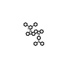 c1ccc(-c2cc(-c3ccccc3)nc(-n3c4ccccc4c4ccc5c(ccc6c7ccccc7n(-c7ccc(N(c8ccccc8)c8ccccc8)cc7)c65)c43)c2)cc1